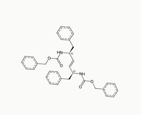 O=C(N[C@H](C=C[C@H](Cc1ccccc1)NC(=O)OCc1ccccc1)Cc1ccccc1)OCc1ccccc1